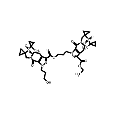 CCOC(=O)c1nn(CCCOC(=O)c2nn(CCCO)c3c2CCN(CC2(S(=O)(=O)C4(C)CC4)CC2)C3=O)c2c1CCN(CC1(S(=O)(=O)C3(C)CC3)CC1)C2=O